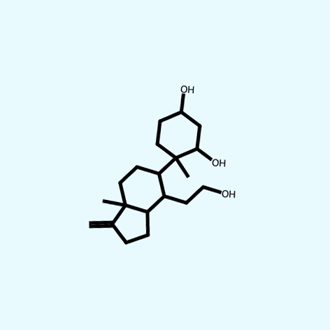 C=C1CCC2C(CCO)C(C3(C)CCC(O)CC3O)CCC12C